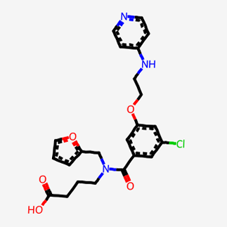 O=C(O)CCCN(Cc1ccco1)C(=O)c1cc(Cl)cc(OCCNc2ccncc2)c1